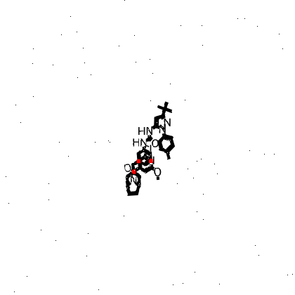 COc1cc(C(=O)N2C3CCC2CC(Cc2cccc(NC(=O)Nc4cc(C(C)(C)C)nn4-c4ccc(C)cc4)c2)C3)cc(Cl)n1